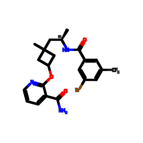 C[C@H](CC1(C)CC(Oc2ncccc2C(N)=O)C1)NC(=O)c1cc(Br)cc(C(F)(F)F)c1